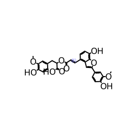 COc1cc(CC(OC(=O)/C=C/c2ccc(O)c3oc(-c4ccc(O)c(OC)c4)cc23)C(=O)O)ccc1O